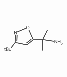 CC(C)(C)c1cc(C(C)(C)N)on1